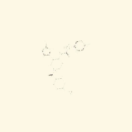 COC1CCC(C(=O)N2CCC(NC(=O)Nc3ccc(Cl)cc3)C(c3ccc(Cl)s3)C2)CC1